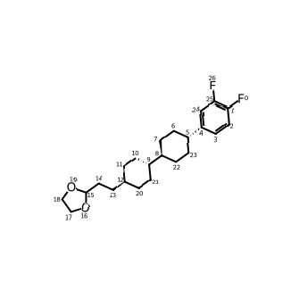 Fc1ccc([C@H]2CC[C@H]([C@H]3CC[C@H](CCC4OCCO4)CC3)CC2)cc1F